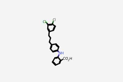 O=C(O)c1ccccc1Nc1ccc(CCCc2ccc(Cl)c(Cl)c2)cc1